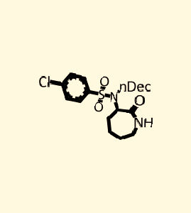 CCCCCCCCCCN(C1CCCCNC1=O)S(=O)(=O)c1ccc(Cl)cc1